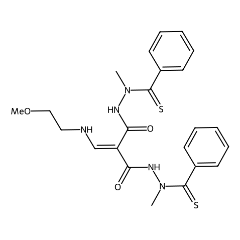 COCCNC=C(C(=O)NN(C)C(=S)c1ccccc1)C(=O)NN(C)C(=S)c1ccccc1